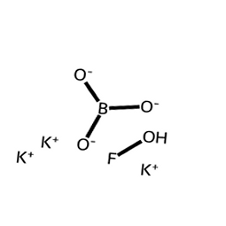 OF.[K+].[K+].[K+].[O-]B([O-])[O-]